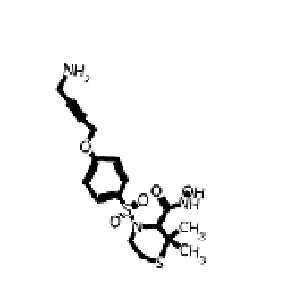 CC1(C)SCCN(S(=O)(=O)c2ccc(OCC#CCN)cc2)C1C(=O)NO